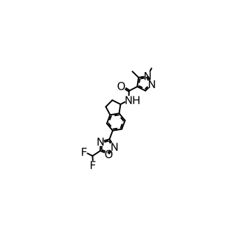 Cc1c(C(=O)NC2CCc3cc(-c4noc(C(F)F)n4)ccc32)cnn1C